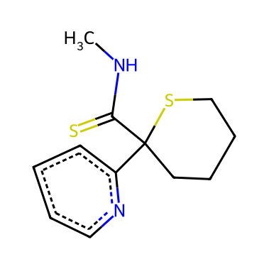 CNC(=S)C1(c2ccccn2)CCCCS1